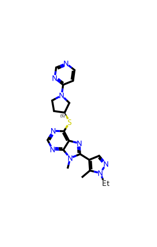 CCn1ncc(-c2nc3c(S[C@H]4CCN(c5ccncn5)C4)ncnc3n2C)c1C